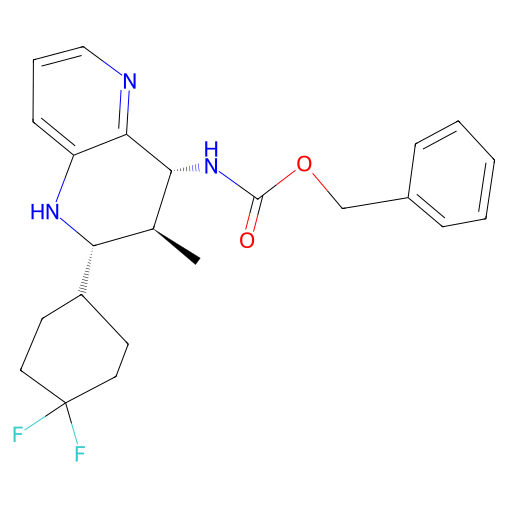 C[C@@H]1[C@@H](NC(=O)OCc2ccccc2)c2ncccc2N[C@H]1C1CCC(F)(F)CC1